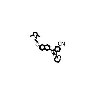 CC1CCC(C)N1CCOc1ccc2cc(-c3nn(C4CCCCO4)c4ccc(C#N)cc34)ccc2c1